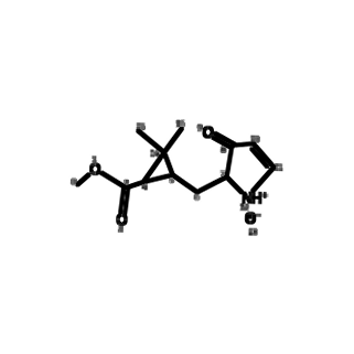 COC(=O)C1C(CC2C(=O)C=C[NH+]2[O-])C1(C)C